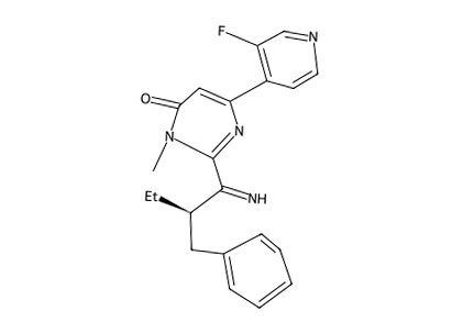 CC[C@H](Cc1ccccc1)C(=N)c1nc(-c2ccncc2F)cc(=O)n1C